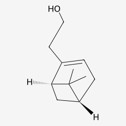 CC1(C)[C@@H]2CC=C(CCO)[C@@H]1C2